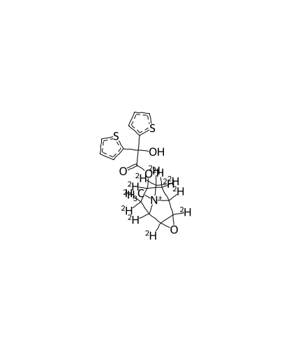 [2H]C1([2H])C([2H])(OC(=O)C(O)(c2cccs2)c2cccs2)C([2H])([2H])C2([2H])C3([2H])OC3([2H])C1([2H])[N+]2(C)C([2H])([2H])[2H]